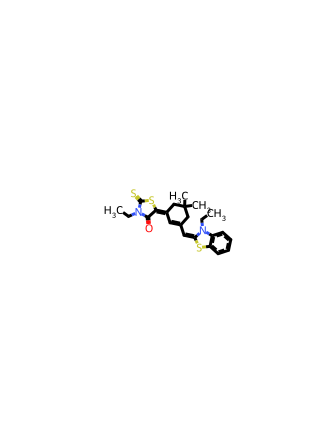 CCN1C(=O)C(=C2C=C(C=C3Sc4ccccc4N3CC)CC(C)(C)C2)SC1=S